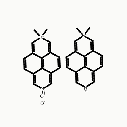 C[N+]1(C)C=c2ccc3c4c(ccc(c24)=C1)=CNC=3.C[N+]1(C)C=c2ccc3c4c(ccc(c24)=C1)=CNC=3.[Cl-].[Cl-]